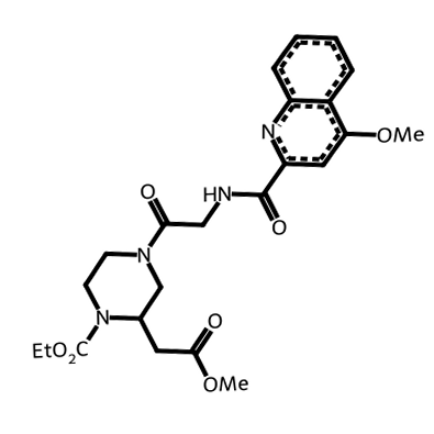 CCOC(=O)N1CCN(C(=O)CNC(=O)c2cc(OC)c3ccccc3n2)CC1CC(=O)OC